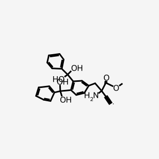 [C]#CC(N)(Cc1ccc(C(O)(O)c2ccccc2)c(C(O)(O)c2ccccc2)c1)C(=O)OC